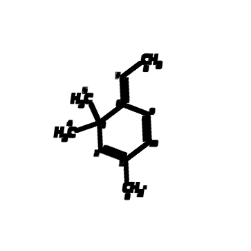 [CH2]C1=CC(C)(C)C(=CC)C=C1